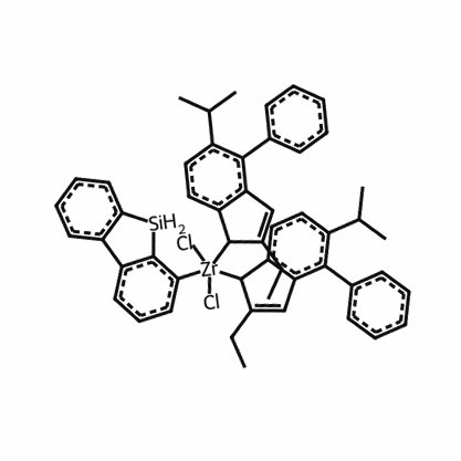 CCC1=Cc2c(ccc(C(C)C)c2-c2ccccc2)[CH]1[Zr]([Cl])([Cl])([c]1cccc2c1[SiH2]c1ccccc1-2)[CH]1C(CC)=Cc2c1ccc(C(C)C)c2-c1ccccc1